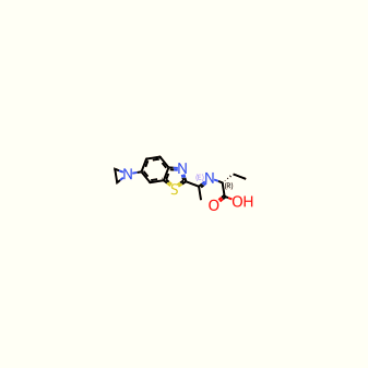 CC[C@@H](/N=C(\C)c1nc2ccc(N3CC3)cc2s1)C(=O)O